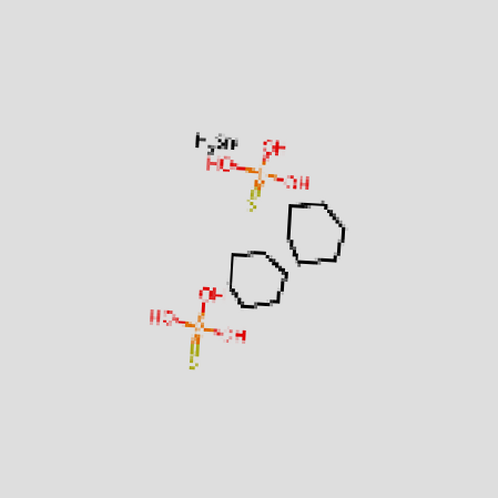 C1CCCCC1.C1CCCCC1.OP(O)(O)=S.OP(O)(O)=S.[SnH2]